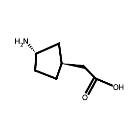 N[C@H]1CC[C@H](CC(=O)O)C1